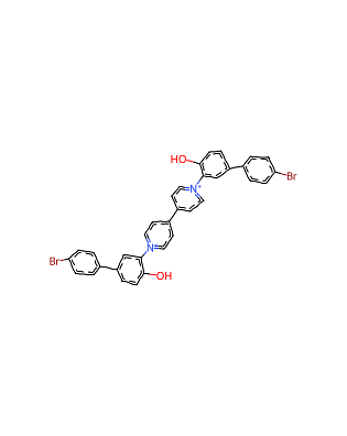 Oc1ccc(-c2ccc(Br)cc2)cc1-[n+]1ccc(-c2cc[n+](-c3cc(-c4ccc(Br)cc4)ccc3O)cc2)cc1